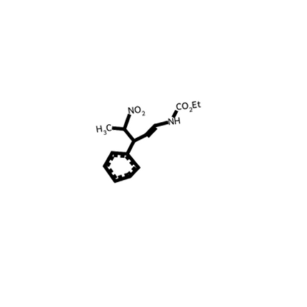 CCOC(=O)N/C=C/C(c1ccccc1)C(C)[N+](=O)[O-]